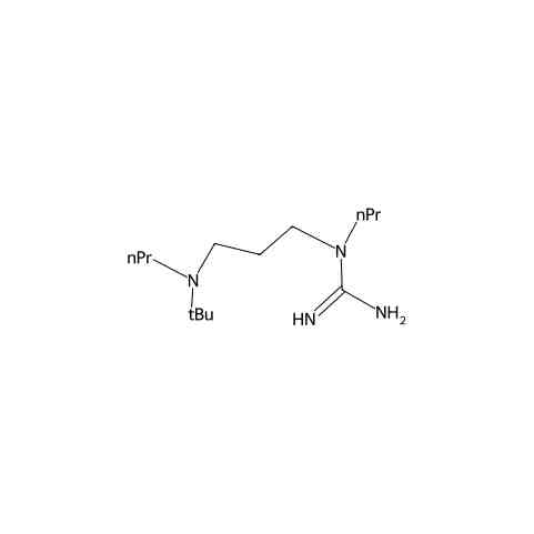 CCCN(CCCN(CCC)C(C)(C)C)C(=N)N